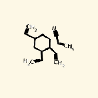 C=CC#N.C=CC1CCC(C=C)C(C=C)C1